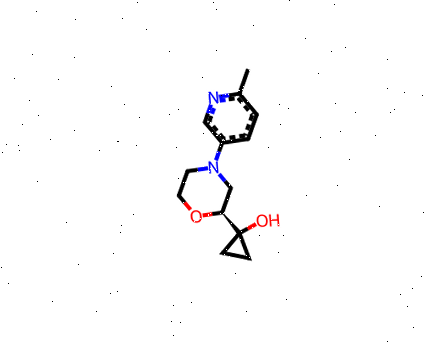 Cc1ccc(N2CCO[C@H](C3(O)CC3)C2)cn1